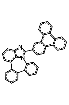 c1ccc2c(c1)-c1ccccc1-n1c(-c3ccc4c5ccccc5c5ccccc5c4c3)nc3cccc-2c31